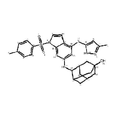 Cc1ccc(S(=O)(=O)n2ccc3c(Nc4cc(C)n[nH]4)nc(NC4C5CC6CC4CC(O)(C6)C5)nc32)cc1